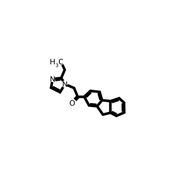 CCc1nccn1CC(=O)c1ccc2c(c1)Cc1ccccc1-2